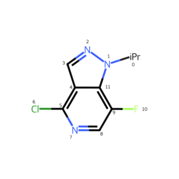 CC(C)n1ncc2c(Cl)ncc(F)c21